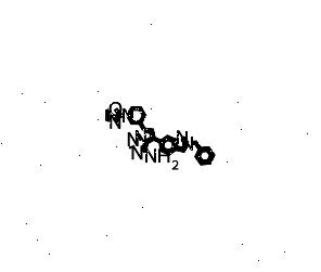 Nc1ncnn2c(C3CCCN(C4=NCCO4)C3)cc(-c3ccc4cn(Cc5ccccc5)nc4c3)c12